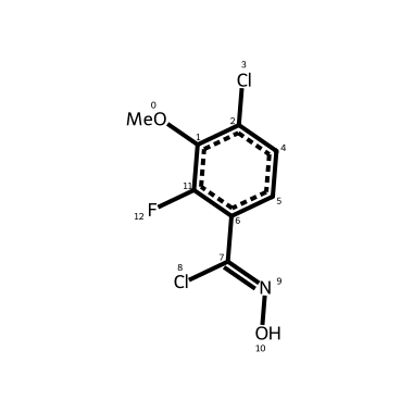 COc1c(Cl)ccc(/C(Cl)=N/O)c1F